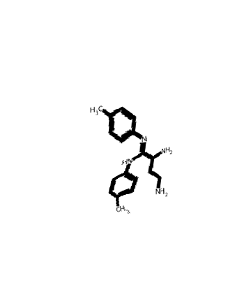 Cc1ccc(/N=C(\Nc2ccc(C)cc2)C(N)CCN)cc1